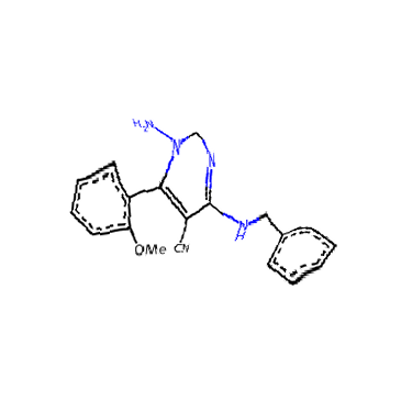 COc1ccccc1C1=C(C#N)C(NCc2ccccc2)=NCN1N